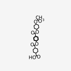 CC(=O)OC1CCC(OC(=O)c2ccc(OC(=O)C3CCC(C(=O)O)CC3)cc2)CC1